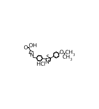 CC(C)Oc1ccc(-c2cnc(-c3ccc(CN4CC(C(=O)O)C4)cc3)s2)cc1.Cl